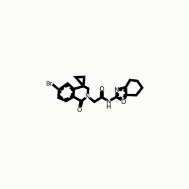 O=C(CN1CC2(CC2)c2cc(Br)ccc2C1=O)Nc1nc2c(o1)CCCC2